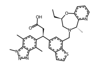 CC[C@@H]1CN(Cc2cc([C@H](CC(=O)O)c3cc(C)c4c(nnn4C)c3C)cc3ccsc23)[C@@H](C)c2ncccc2O1